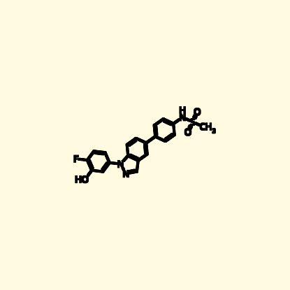 CS(=O)(=O)Nc1ccc(-c2ccc3c(cnn3-c3ccc(F)c(O)c3)c2)cc1